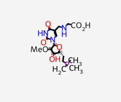 C=P(C)(C)CC[C@H]1O[C@@H](n2cc(CNCC(=O)O)c(=O)[nH]c2=O)[C@H](OC)[C@@H]1O